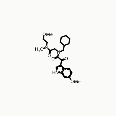 COCCN(C)C(=O)CN(CC1CCCCC1)C(=O)C(=O)c1c[nH]c2cc(OC)ccc12